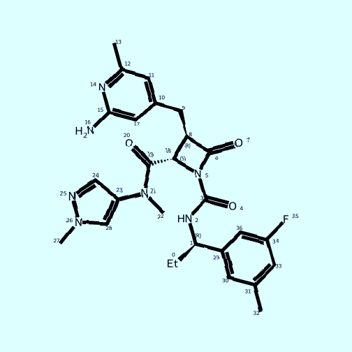 CC[C@@H](NC(=O)N1C(=O)[C@H](Cc2cc(C)nc(N)c2)[C@H]1C(=O)N(C)c1cnn(C)c1)c1cc(C)cc(F)c1